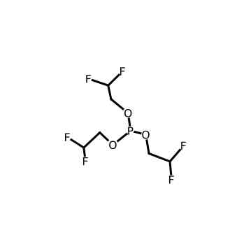 FC(F)COP(OCC(F)F)OCC(F)F